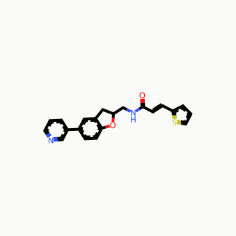 O=C(C=Cc1cccs1)NCC1Cc2cc(-c3cccnc3)ccc2O1